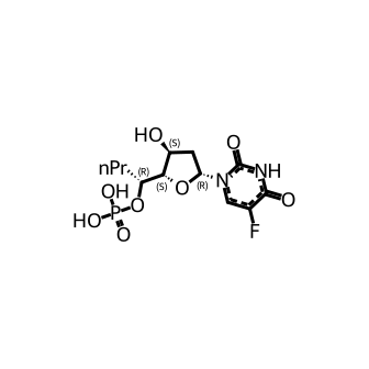 CCC[C@@H](OP(=O)(O)O)[C@H]1O[C@@H](n2cc(F)c(=O)[nH]c2=O)C[C@@H]1O